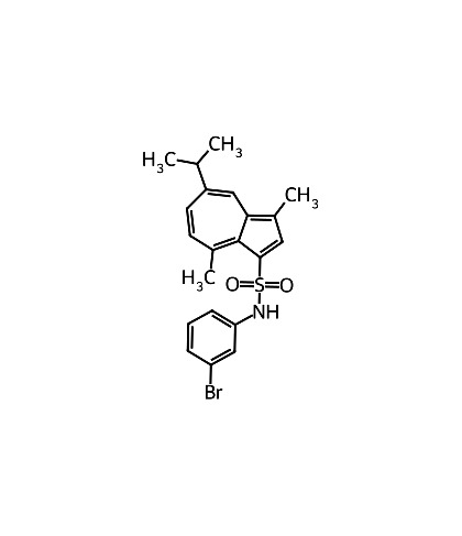 Cc1cc(S(=O)(=O)Nc2cccc(Br)c2)c2c(C)ccc(C(C)C)cc1-2